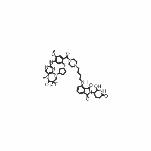 COc1cc(C(=O)N2CCN(CCCCNc3cccc4c3C(=O)N(C3CCC(=O)NC3O)C4=O)CC2)c(F)cc1Nc1ncc2c(n1)N(C1CCCC1)CC(F)(F)C(=O)N2C